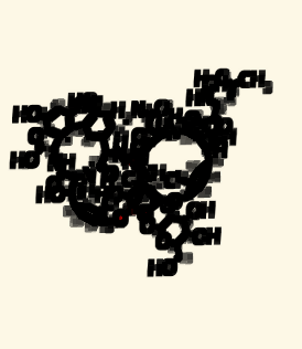 CN[C@H](CC(C)C)C(=O)N[C@H]1C(=O)N[C@@H](CC(N)=O)C(=O)N[C@H]2C(=O)N[C@H]3C(=O)N[C@H](C(=O)N[C@H](C(=O)O)c4cc(O)cc(O)c4-c4cc3ccc4O)C(O)c3ccc(c(Cl)c3)Oc3cc2cc(c3O[C@@H]2O[C@H](CO)[C@@H](O)[C@H](O)[C@H]2OC2C[C@](C)(N)[C@H](O)[C@H](C)O2)Oc2ccc(cc2Cl)[C@H]1O